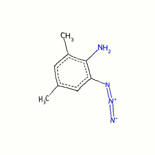 Cc1cc(C)c(N)c(N=[N+]=[N-])c1